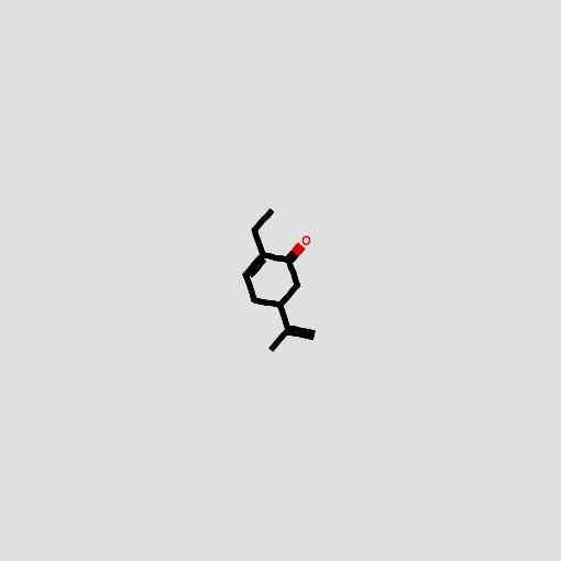 C=C(C)C1CC=C(CC)C(=O)C1